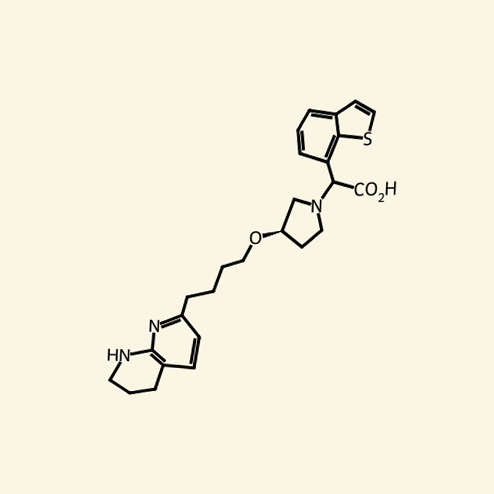 O=C(O)C(c1cccc2ccsc12)N1CC[C@@H](OCCCCc2ccc3c(n2)NCCC3)C1